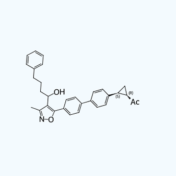 CC(=O)[C@@H]1C[C@@H]1c1ccc(-c2ccc(-c3onc(C)c3C(O)CCCc3ccccc3)cc2)cc1